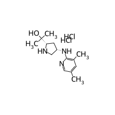 Cc1cnc(N[C@@H]2CN[C@H](C(C)(C)O)C2)c(C)c1.Cl.Cl